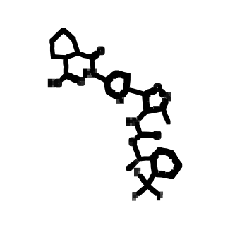 Cc1noc(-c2ccc(NC(=O)C3CCCCC3C(=O)O)cn2)c1NC(=O)O[C@H](C)c1ccccc1C(F)(F)F